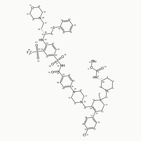 CC1(CN2CCC[C@@H](NC(=O)OC(C)(C)C)C2)CCC(c2ccc(Cl)cc2)=C(CN2CCN(c3ccc(C(=O)NS(=O)(=O)c4ccc(N[C@H](CCN5CCOCC5)CSc5ccccc5)c(S(=O)(=O)C(F)(F)F)c4)cc3)CC2)C1